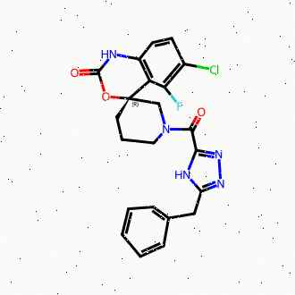 O=C1Nc2ccc(Cl)c(F)c2[C@@]2(CCCN(C(=O)c3nnc(Cc4ccccc4)[nH]3)C2)O1